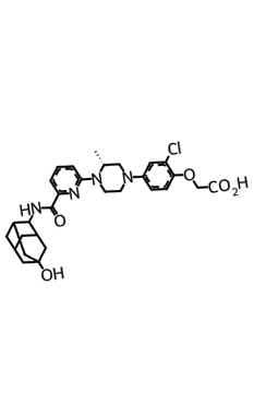 C[C@@H]1CN(c2ccc(OCC(=O)O)c(Cl)c2)CCN1c1cccc(C(=O)NC2C3CC4CC2CC(O)(C4)C3)n1